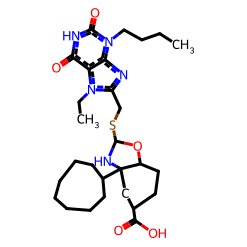 CCCCn1c(=O)[nH]c(=O)c2c1nc(CSC1NC3(C4CCCCCCC4)CC(C(=O)O)CCC3O1)n2CC